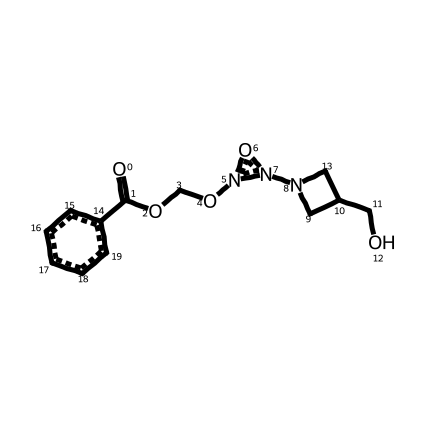 O=C(OCOn1on1N1CC(CO)C1)c1ccccc1